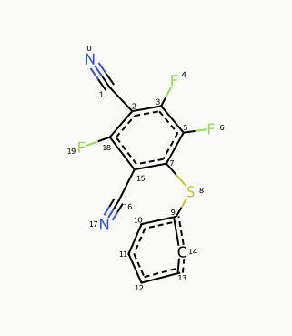 N#Cc1c(F)c(F)c(Sc2ccccc2)c(C#N)c1F